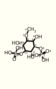 COC1C(O)[C@@H](OP(=O)(O)O)[C@H](O)C(OP(=O)(O)O)[C@@H]1O